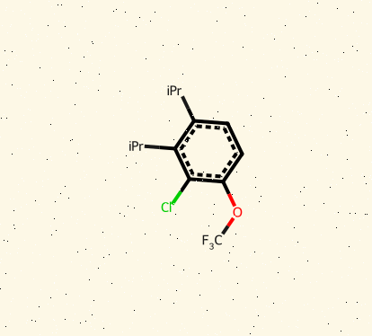 CC(C)c1ccc(OC(F)(F)F)c(Cl)c1C(C)C